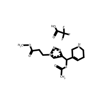 COC(=O)CCn1cc(C(SC(C)=O)C2=CCCNC2)nn1.O=C(O)C(F)(F)F